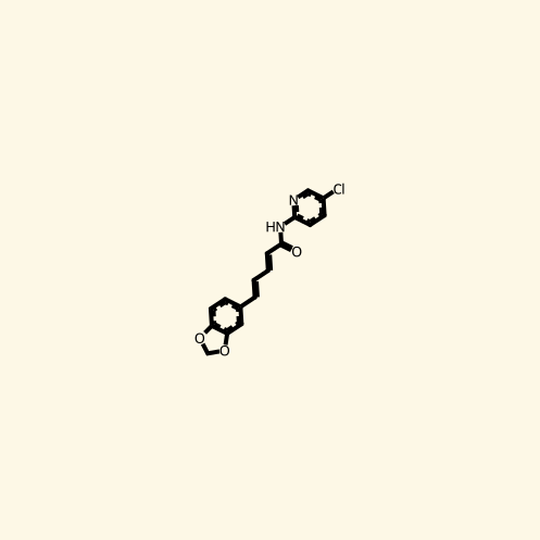 O=C(/C=C/C=C/c1ccc2c(c1)OCO2)Nc1ccc(Cl)cn1